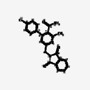 Cc1nc(CN2C(=O)c3ccccc3C2=O)cc(-c2ccc(Cl)cc2)c1C(N)=O